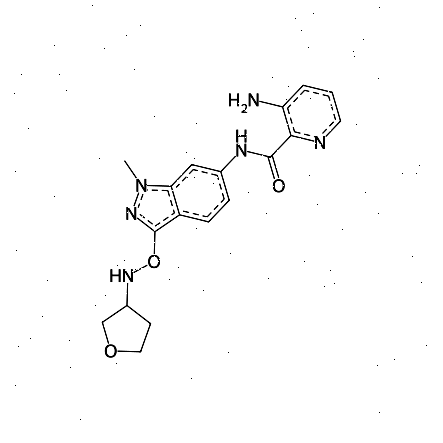 Cn1nc(ONC2CCOC2)c2ccc(NC(=O)c3ncccc3N)cc21